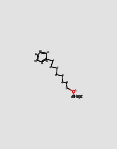 [CH2]CCCCCCOCCCCCCCCc1ccccc1